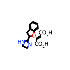 O=C(O)/C=C/C(=O)O.c1ccc2c(c1)CC(C1=NCCN1)O2